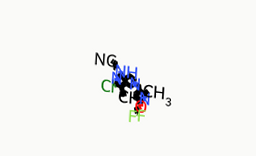 C#Cc1c(Cl)nc(NCCC#N)c2c1CN(Cc1ccc(OCC(F)F)nc1C)CC2